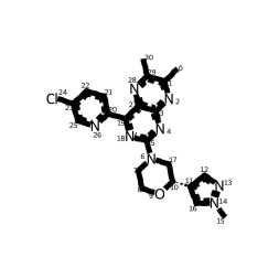 Cc1nc2nc(N3CCO[C@@H](c4cnn(C)c4)C3)nc(-c3ccc(Cl)cn3)c2nc1C